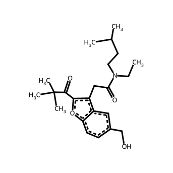 CCN(CCC(C)C)C(=O)Cc1c(C(=O)C(C)(C)C)oc2ccc(CO)cc12